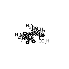 C[C@@H](O)[C@H](NC(=O)[C@H](CCCCN)NC(=O)[C@@H](Cc1cn(F)c2ccccc12)NC(=O)[C@H](Cc1ccccc1)NC(=O)[C@H](Cc1ccccc1)NC(=O)[C@@H](N)CC(N)=O)C(=O)N[C@@H](Cc1ccccc1)C(=O)NCCCC(=O)O